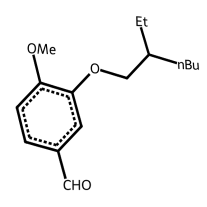 CCCCC(CC)COc1cc(C=O)ccc1OC